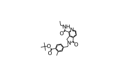 CCNC(=O)c1nccc2c1CN(Cc1ccc(C(=O)OC(C)(C)C)c(C)c1)C2=O